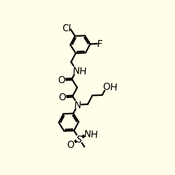 CS(=N)(=O)c1cccc(N(CCCO)C(=O)CC(=O)NCc2cc(F)cc(Cl)c2)c1